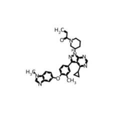 C=CC(=O)N1CCC[C@@H](n2nc(-c3ccc(Oc4ccc5c(c4)ncn5C)c(C)c3)c3c(C4CC4)ncnc32)C1